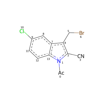 CC(=O)n1c(C#N)c(CBr)c2cc(Cl)ccc21